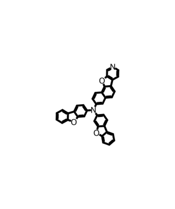 c1ccc2c(c1)oc1cc(N(c3ccc4c(ccc5c6ccncc6oc45)c3)c3ccc4c(c3)oc3ccccc34)ccc12